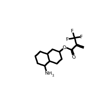 C=C(C(=O)OC1CCC2C(N)CCCC2C1)C(F)(F)F